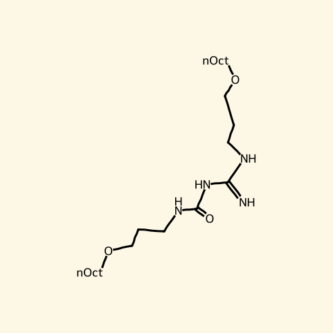 CCCCCCCCOCCCNC(=N)NC(=O)NCCCOCCCCCCCC